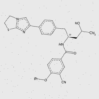 CC(O)C[C@H](Cc1ccc(-c2cn3c(n2)SCC3)cc1)NC(=O)c1ccc(OC(C)C)c(C#N)c1